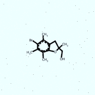 Cc1c(C)c2c(c(C)c1Br)CC(C)(CO)O2